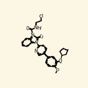 COc1ccc(-c2ccc(-n3c(=O)n(C(=O)NCCCl)c4ccccc43)nc2)cc1OC1CCCC1